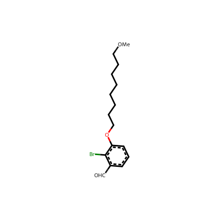 COCCCCCCCCOc1cccc(C=O)c1Br